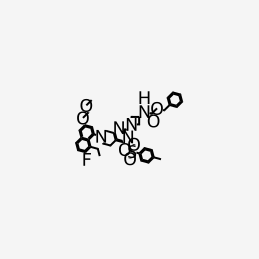 CCc1c(F)ccc2cc(OCOC)cc(N3CCc4c(nc(N5CC(NC(=O)OCc6ccccc6)C5)nc4OS(=O)(=O)c4ccc(C)cc4)C3)c12